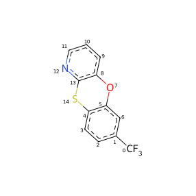 FC(F)(F)c1ccc2c(c1)Oc1cccnc1S2